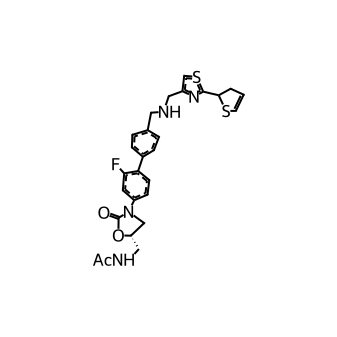 CC(=O)NC[C@H]1CN(c2ccc(-c3ccc(CNCc4csc(C5CC=CS5)n4)cc3)c(F)c2)C(=O)O1